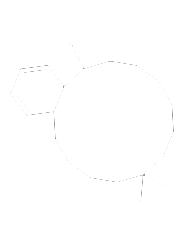 CC1(C)CCCCCCC(N)C2C=CC=CC2CCCC1